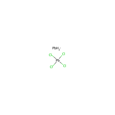 [Cl][Pb]([Cl])([Cl])[Cl].[PbH2]